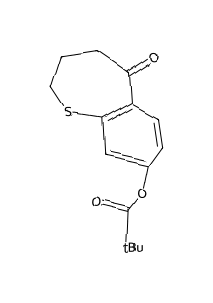 CC(C)(C)C(=O)Oc1ccc2c(c1)SCCCC2=O